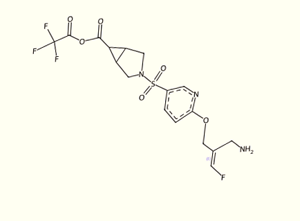 NC/C(=C\F)COc1ccc(S(=O)(=O)N2CC3C(C2)C3C(=O)OC(=O)C(F)(F)F)cn1